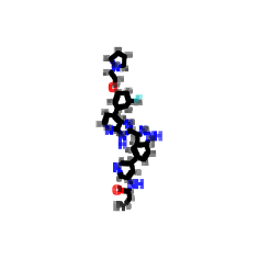 CC(C)CC(=O)Nc1cncc(-c2ccc3[nH]nc(-c4nc5c(-c6cc(F)cc(OCCN7CCCC7)c6)ccnc5[nH]4)c3c2)c1